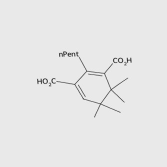 CCCCCC1=C(C(=O)O)C(C)(C)C(C)(C)C=C1C(=O)O